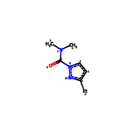 CCc1ccn(C(=O)N(C)C)n1